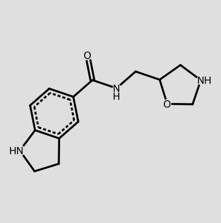 O=C(NCC1CNCO1)c1ccc2c(c1)CCN2